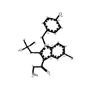 CCC(C)(C)Cc1c(C(=O)CC(C)(C)C)c2cc(C)ccc2n1Cc1ccc(Cl)cc1